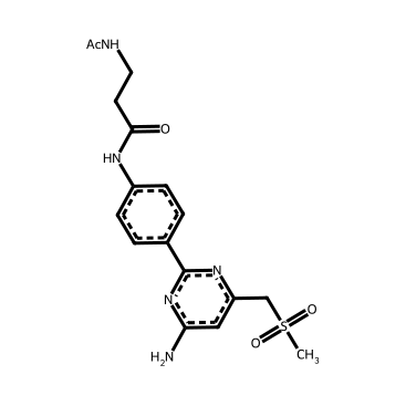 CC(=O)NCCC(=O)Nc1ccc(-c2nc(N)cc(CS(C)(=O)=O)n2)cc1